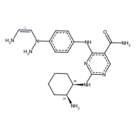 N/C=C\N(N)c1ccc(Nc2nc(N[C@@H]3CCCC[C@@H]3N)ncc2C(N)=O)cc1